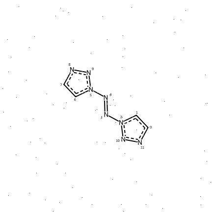 c1cn(N=Nn2ccnn2)nn1